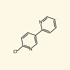 Clc1ccc(-c2cc[c]cn2)cn1